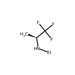 CCN[C@@H](C)C(F)(F)F